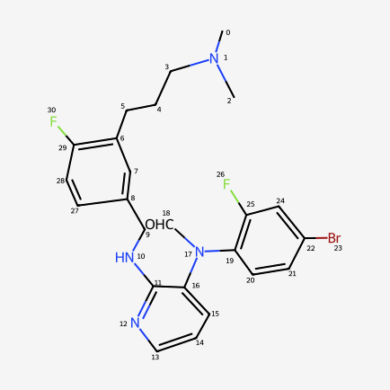 CN(C)CCCc1cc(CNc2ncccc2N(C=O)c2ccc(Br)cc2F)ccc1F